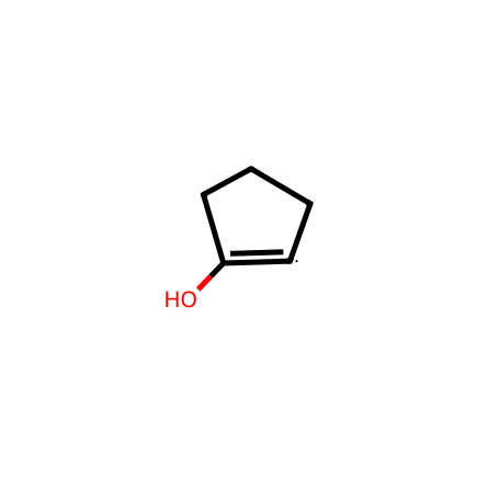 OC1=[C]CCC1